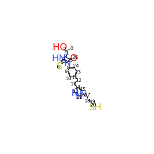 CC(O)C1NC(=S)N(c2ccc(CCc3cn(CCCS)nn3)cc2)C1=O